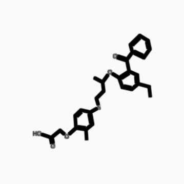 CCc1ccc(OC(C)CCSc2ccc(OCC(=O)O)c(C)c2)c(C(=O)c2ccccc2)c1